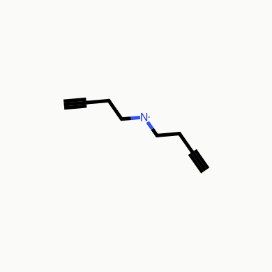 C#CCC[N]CCC#C